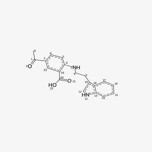 CC(=O)c1ccc(NCCc2c[nH]c3ccccc23)c(C(=O)O)c1